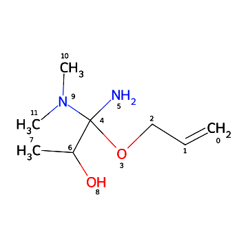 C=CCOC(N)(C(C)O)N(C)C